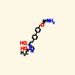 C[C@H](O)c1nccn1[C@@H](/C=C/c1ccc(-c2ccc(CO[C@@H]3C[C@@H]3N)cc2)cc1)CO